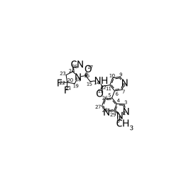 Cn1ncc2c(-c3cnccc3C(=O)NCC(=O)N3CC(F)(F)C[C@H]3C#N)ccnc21